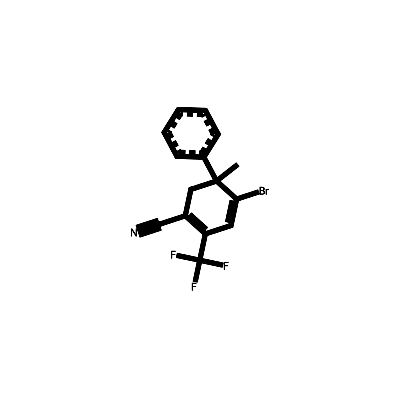 CC1(c2ccccc2)CC(C#N)=C(C(F)(F)F)C=C1Br